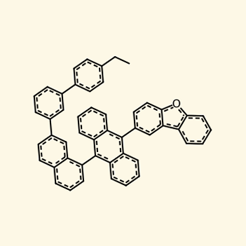 CCc1ccc(-c2cccc(-c3ccc4cccc(-c5c6ccccc6c(-c6ccc7oc8ccccc8c7c6)c6ccccc56)c4c3)c2)cc1